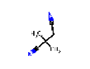 [CH2]C(C)(C#N)CC#N